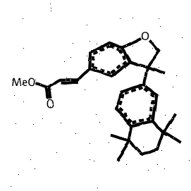 COC(=O)/C=C/c1ccc2c(c1)C(C)(c1ccc3c(c1)C(C)(C)CCC3(C)C)CO2